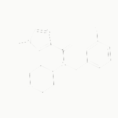 Cc1cccc(CN(C(=O)c2cn(C)cn2)C2CCOCC2)c1